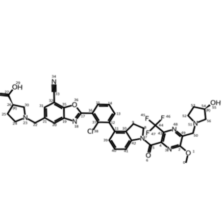 COc1nc(C(=O)N2CCc3c(-c4cccc(-c5nc6cc(CN7CC[C@@H](C(=O)O)C7)cc(C#N)c6o5)c4Cl)cccc32)c(C(F)(F)F)nc1CN1CC[C@@H](O)C1